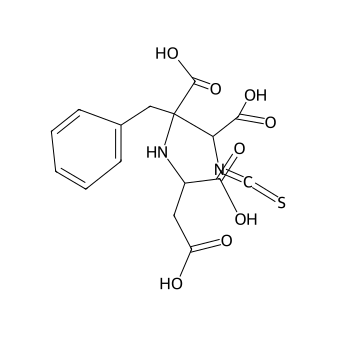 O=C(O)CC(NC(Cc1ccccc1)(C(=O)O)C(N=C=S)C(=O)O)C(=O)O